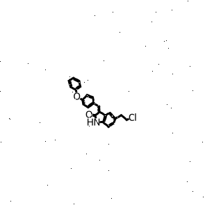 O=C1Nc2ccc(CCCl)cc2C1=Cc1ccc(Oc2ccccc2)cc1